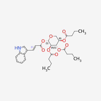 CCCC(=O)O[C@@H]1[C@@H](OC(=O)CCC)[C@H](OC(=O)/C=C/c2c[nH]c3ccccc23)OC[C@H]1OC(=O)CCC